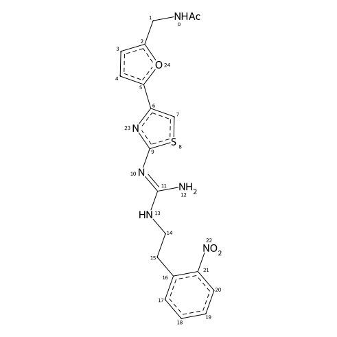 CC(=O)NCc1ccc(-c2csc(/N=C(\N)NCCc3ccccc3[N+](=O)[O-])n2)o1